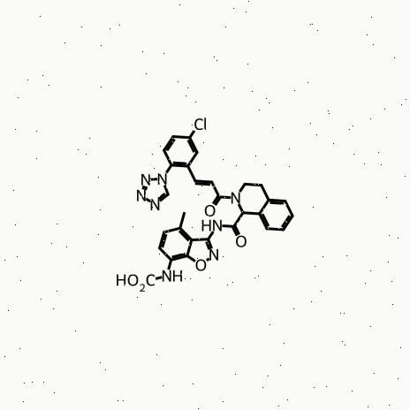 Cc1ccc(NC(=O)O)c2onc(NC(=O)C3c4ccccc4CCN3C(=O)C=Cc3cc(Cl)ccc3-n3cnnn3)c12